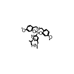 CNCc1cc(S(=O)(=O)N(Cc2ccc(OC)cc2)Cc2ccc(OC)cc2)nn1C(C)C